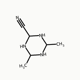 CC1NC(C)NC(C#N)N1